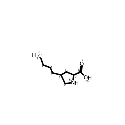 CCCCC1CNC(C(=O)O)C1